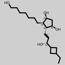 CCC1CC([C@H](O)/C=C/[C@@H]2[C@@H](CCCCCCCO)[C@@H](O)C[C@H]2O)C1